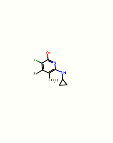 CCc1c(F)c(O)nc(NC2CC2)c1C(=O)O